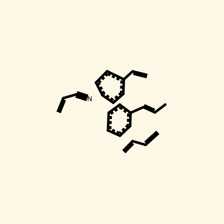 C=CC#N.C=CC=C.C=Cc1ccccc1.CC=Cc1ccccc1